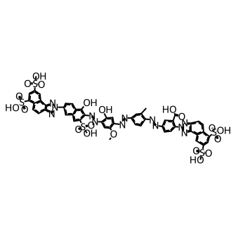 COc1cc(N=Nc2c(S(=O)(=O)O)cc3cc(-n4nc5ccc6c(S(=O)(=O)O)cc(S(=O)(=O)O)cc6c5n4)ccc3c2O)c(O)cc1N=Nc1ccc(N=Nc2ccc(-n3nc4ccc5c(S(=O)(=O)O)cc(S(=O)(=O)O)cc5c4n3)c(C(=O)O)c2)c(C)c1